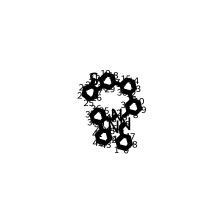 c1ccc(-c2nc(-c3cccc(-c4cccc(-c5ccc6sc7ccccc7c6c5)c4)c3)nc(-c3ccccc3-c3ccccc3)n2)cc1